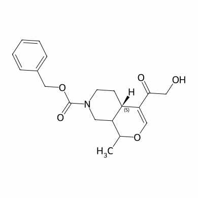 CC1OC=C(C(=O)CO)[C@H]2CCN(C(=O)OCc3ccccc3)CC12